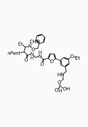 CCCCCC(C(=O)NCNC(=O)c1ccc(-c2cc(CNCO[PH](=O)O)cc(OCC)c2)o1)C(CC)N(C=O)OCc1ccccc1